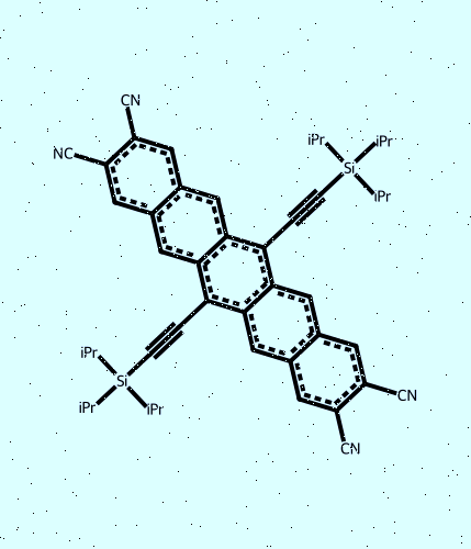 CC(C)[Si](C#Cc1c2cc3cc(C#N)c(C#N)cc3cc2c(C#C[Si](C(C)C)(C(C)C)C(C)C)c2cc3cc(C#N)c(C#N)cc3cc12)(C(C)C)C(C)C